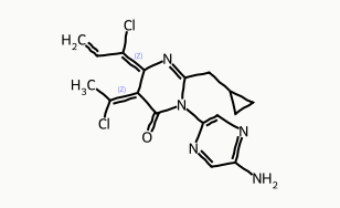 C=C/C(Cl)=c1/nc(CC2CC2)n(-c2cnc(N)cn2)c(=O)/c1=C(/C)Cl